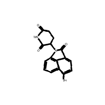 CC(C)c1ccc2c3c(cccc13)N(C1CCC(=O)NC1=O)C2=O